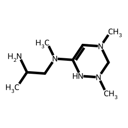 CC(N)CN(C)C1=CN(C)CN(C)N1